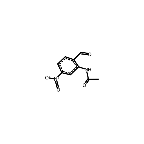 CC(=O)Nc1cc([N+](=O)[O-])ccc1C=O